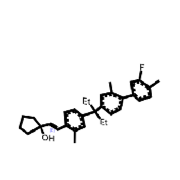 CCC(CC)(c1ccc(/C=C/C2(O)CCCC2)c(C)c1)c1ccc(-c2ccc(C)c(F)c2)c(C)c1